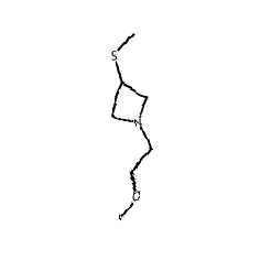 CSC1CN(CCOI)C1